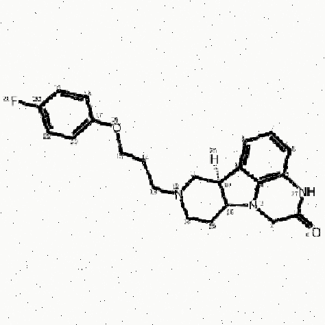 O=C1CN2c3c(cccc3[C@@H]3CN(CCCOc4ccc(F)cc4)CCC32)N1